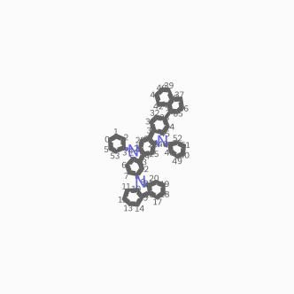 c1ccc(-n2c3ccc(-n4c5ccccc5c5ccccc54)cc3c3cc4c(cc32)c2ccc(-c3cccc5ccccc35)cc2n4-c2ccccc2)cc1